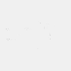 C=CC[Si](C)(C)C1=C([Si](C)(C)CC=C)[C]([Si](C)(C)CC=C)([Pt]([CH2]C)([CH2]C)[CH2]C)C=C1C[Si](OC)(OC)OC